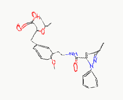 COc1ccc(CC(OC(C)C)C(=O)O)cc1CCNC(=O)c1cc(C)nn1-c1ccccc1